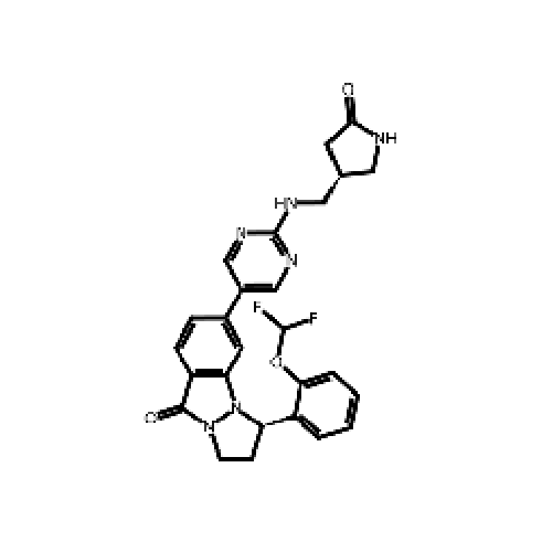 O=C1C[C@H](CNc2ncc(-c3ccc4c(=O)n5n(c4c3)[C@@H](c3ccccc3OC(F)F)CC5)cn2)CN1